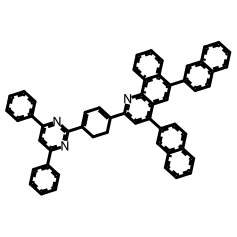 C1=C(c2cc(-c3ccc4ccccc4c3)c3cc(-c4ccc5ccccc5c4)c4ccccc4c3n2)CCC(c2nc(-c3ccccc3)cc(-c3ccccc3)n2)=C1